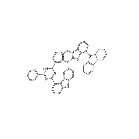 C1=CC2C3=C(CCC=C3)N(c3cccc4c3sc3c(-c5ccc6sc7cccc(C8=NC(c9ccccc9)NC(c9ccccc9)=N8)c7c6c5)cccc34)C2C=C1